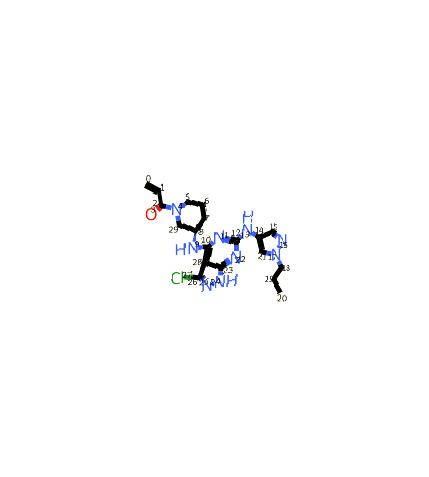 C=CC(=O)N1CCC[C@@H](Nc2nc(Nc3cnn(CCC)c3)nc3[nH]nc(Cl)c23)C1